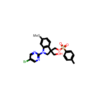 CSc1ccc2c(c1)N(c1ncc(Br)cn1)CC2(CO)COS(=O)(=O)c1ccc(C)cc1